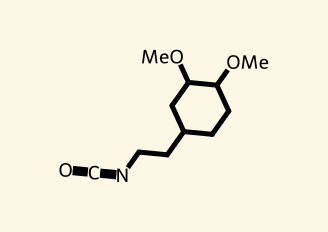 COC1CCC(CCN=C=O)CC1OC